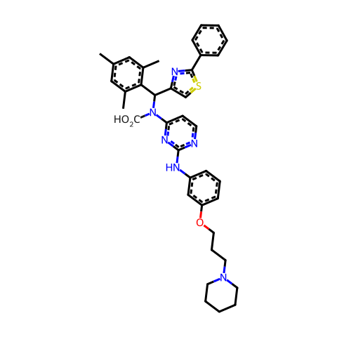 Cc1cc(C)c(C(c2csc(-c3ccccc3)n2)N(C(=O)O)c2ccnc(Nc3cccc(OCCCN4CCCCC4)c3)n2)c(C)c1